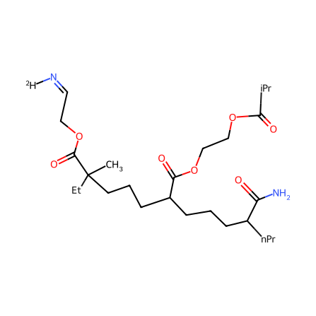 [2H]/N=C\COC(=O)C(C)(CC)CCCC(CCCC(CCC)C(N)=O)C(=O)OCCOC(=O)C(C)C